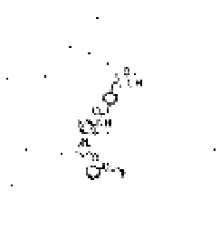 CC(C)(Cc1ccc(CC(=O)Nc2cncc(N3CCCC(Oc4ccccc4OCCF)C3)n2)cc1)C(=O)O